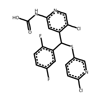 O=C(O)Nc1cc(C(Sc2ccc(Cl)nc2)c2cc(F)ccc2F)c(Cl)cn1